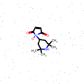 CC1(C)CC([N+]2([O-])C(=O)C=CC2=O)CC(C)(C)N1